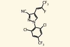 N#Cc1nn(-c2c(Cl)cc(C(F)(F)F)cc2Cl)cc1C=C(F)C(F)(F)F